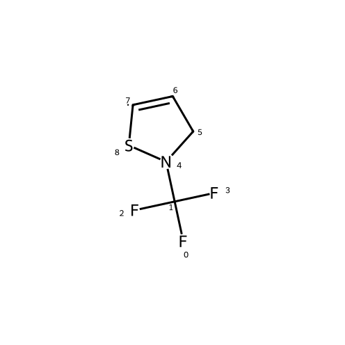 FC(F)(F)N1CC=[C]S1